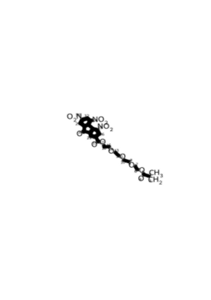 C=C(C)C(=O)OCCOCCOCCOCCOC(=O)c1cc2c(c([N+](=O)[O-])c1)-c1c(cc([N+](=O)[O-])cc1[N+](=O)[O-])C2=O